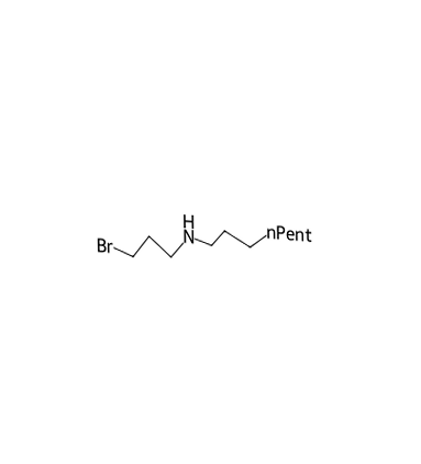 CCCCCCCCNCCCBr